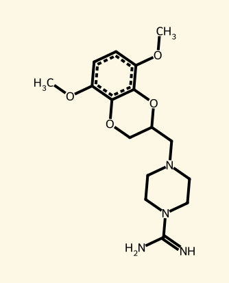 COc1ccc(OC)c2c1OCC(CN1CCN(C(=N)N)CC1)O2